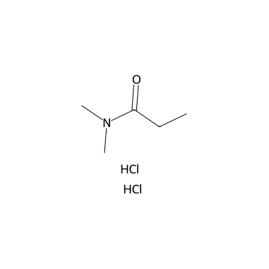 CCC(=O)N(C)C.Cl.Cl